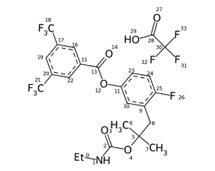 CCNC(=O)OC(C)(C)Cc1cc(OC(=O)c2cc(C(F)(F)F)cc(C(F)(F)F)c2)ccc1F.O=C(O)C(F)(F)F